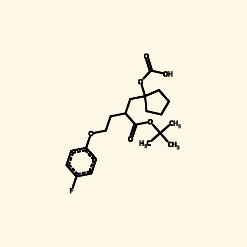 CC(C)(C)OC(=O)C(CCOc1ccc(F)cc1)CC1(OC(=O)O)CCCC1